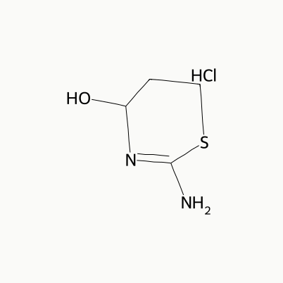 Cl.NC1=NC(O)CCS1